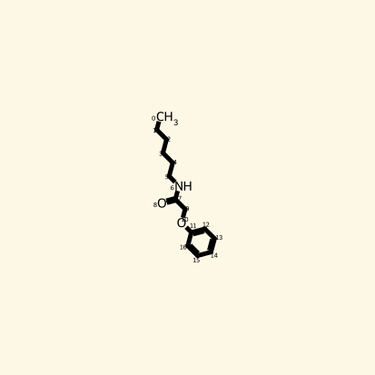 CCCCCCNC(=O)COc1ccccc1